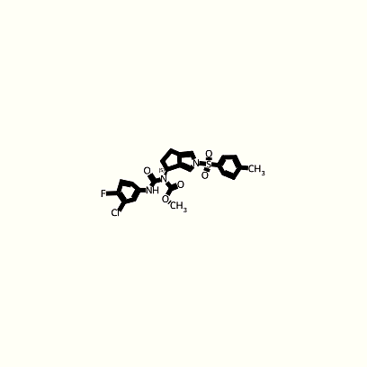 COC(=O)N(C(=O)Nc1ccc(F)c(Cl)c1)[C@H]1CCc2cn(S(=O)(=O)c3ccc(C)cc3)cc21